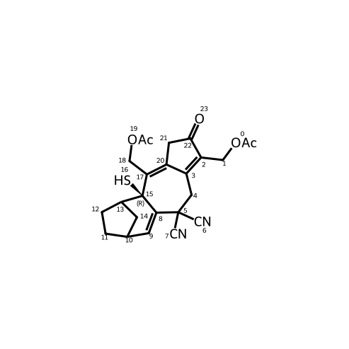 CC(=O)OCC1=C2CC(C#N)(C#N)C3=CC4CCC(C4)[C@]3(S)C(COC(C)=O)=C2CC1=O